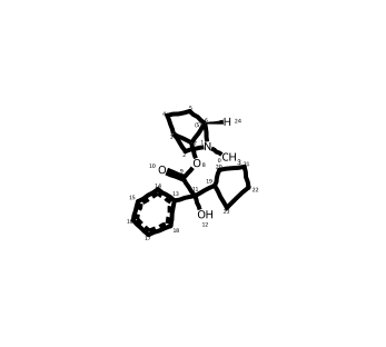 CN1CC2CC[C@H]1C2OC(=O)C(O)(c1ccccc1)C1CCCC1